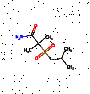 CC(C)CS(=O)(=O)C(C)(C)C(N)=O